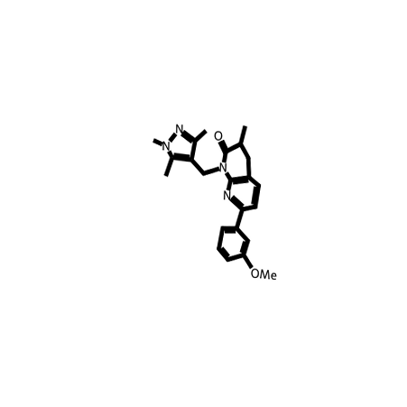 COc1cccc(-c2ccc3c(n2)N(Cc2c(C)nn(C)c2C)C(=O)C(C)C3)c1